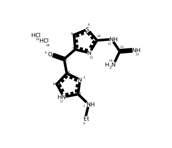 CCNc1nc(C(=O)c2csc(NC(=N)N)n2)c[nH]1.Cl.Cl